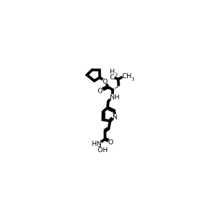 CC(C)C[C@H](NCc1ccc(/C=C/C(=O)NO)nc1)C(=O)OC1CCCC1